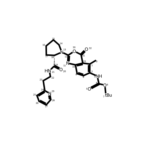 Cc1c(NC(=O)OC(C)(C)C)ccc2nc(N3CCCC[C@H]3C(=O)NCCc3ccccn3)oc(=O)c12